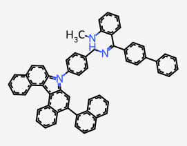 CNc1ccccc1/C(=N\Cc1ccc(-n2c3ccc4ccccc4c3c3c4ccccc4c(-c4cccc5ccccc45)cc32)cc1)c1ccc(-c2ccccc2)cc1